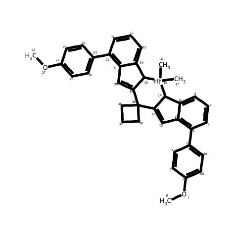 COc1ccc(-c2cccc3c2C=C2[CH]3[Hf]([CH3])([CH3])[CH]3C(=Cc4c(-c5ccc(OC)cc5)cccc43)C23CCC3)cc1